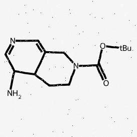 CC(C)(C)OC(=O)N1CCC2C(=CN=CC2N)C1